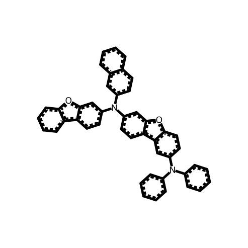 c1ccc(N(c2ccccc2)c2ccc3oc4cc(N(c5ccc6ccccc6c5)c5ccc6c(c5)oc5ccccc56)ccc4c3c2)cc1